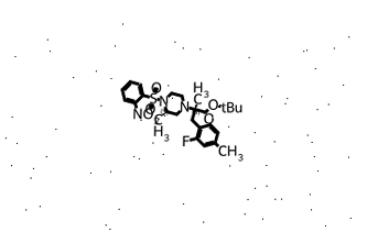 Cc1ccc(C[C@@](C)(C(=O)OC(C)(C)C)N2CCN(S(=O)(=O)c3ccccc3[N+](=O)[O-])[C@@H](C)C2)c(F)c1